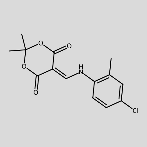 Cc1cc(Cl)ccc1NC=C1C(=O)OC(C)(C)OC1=O